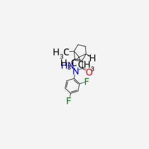 CC12CC[C@H](c3c1[nH]n(-c1ccc(F)cc1F)c3=O)C2(C)C